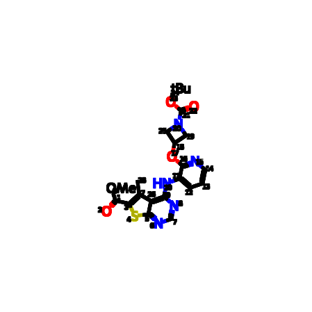 COC(=O)c1sc2ncnc(Nc3cccnc3OC3CN(C(=O)OC(C)(C)C)C3)c2c1C